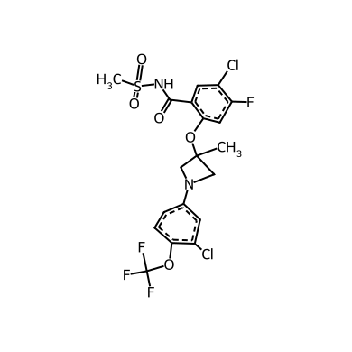 CC1(Oc2cc(F)c(Cl)cc2C(=O)NS(C)(=O)=O)CN(c2ccc(OC(F)(F)F)c(Cl)c2)C1